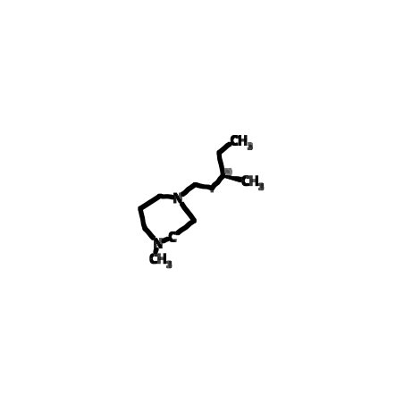 CC[C@@H](C)[CH]CN1CCCN(C)CC1